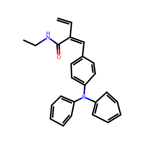 C=C/C(=C/c1ccc(N(c2ccccc2)c2ccccc2)cc1)C(=O)NCC